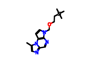 Cc1cnc2cnc3c(ccn3COCC[Si](C)(C)C)n12